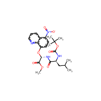 COC(=O)[C@@H](NC(=O)[C@H](CC(C)C)NC(=O)OC(C)(C)C)Oc1ccc([N+](=O)[O-])c2cccnc12